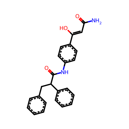 NC(=O)/C=C(\O)c1ccc(NC(=O)C(Cc2ccccc2)c2ccccc2)cc1